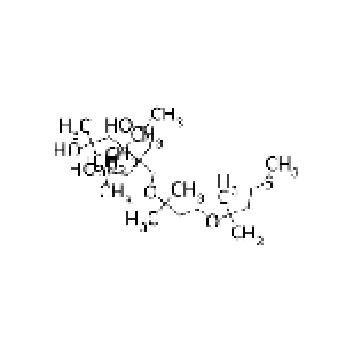 CSCCC(C)(C)OCCC(C)(C)OCC(CC(C)O)(CC(C)(C)O)C(C)(C)CC(C)(C)O